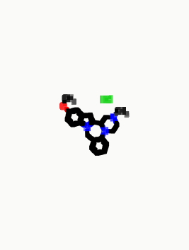 COc1ccc2c(c1)cc1n2Cc2ccccc2N2CCN(C)CC12.Cl